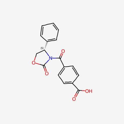 O=C(O)c1ccc(C(=O)N2C(=O)OC[C@@H]2c2ccccc2)cc1